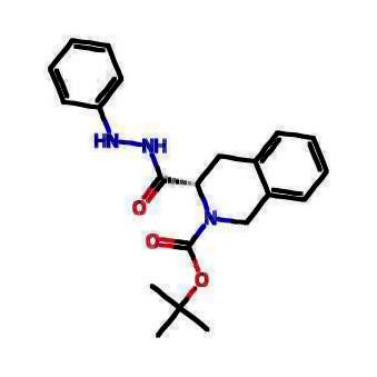 CC(C)(C)OC(=O)N1Cc2ccccc2C[C@H]1C(=O)NNc1ccccc1